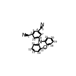 N#Cc1cc(C#N)cc(N2c3ccccc3Oc3ccccc32)c1